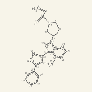 C=CC(=O)N1CCC[C@@H](n2nc(-c3cc(-c4ccccc4)on3)c3c(N)ncnc32)C1